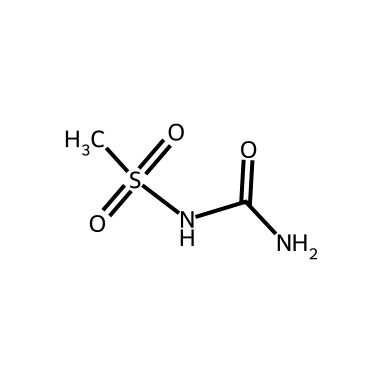 CS(=O)(=O)NC(N)=O